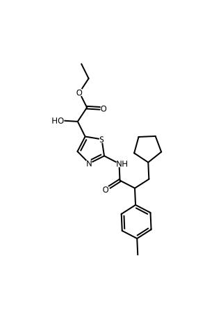 CCOC(=O)C(O)c1cnc(NC(=O)C(CC2CCCC2)c2ccc(C)cc2)s1